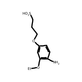 CCOc1cc(OCCCS(=O)(=O)O)ccc1N